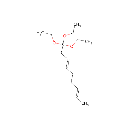 C/C=C/CC/C=C/C[Si](OCC)(OCC)OCC